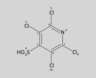 O=S(=O)(O)c1c(Cl)c(Cl)nc(Cl)c1Cl